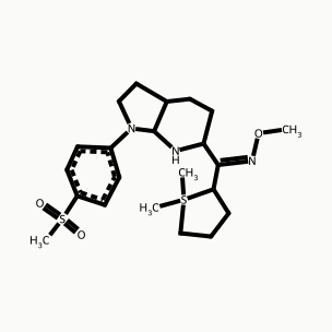 CO/N=C(\C1CCC2CCN(c3ccc(S(C)(=O)=O)cc3)C2N1)C1CCCS1(C)C